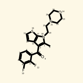 Cc1c(C(=O)c2cccc(F)c2F)c2ccsc2n1CCN1CCOCC1